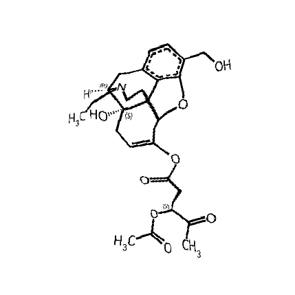 CC(=O)O[C@@H](CC(=O)OC1=CC[C@@]2(O)[C@H]3Cc4ccc(CO)c5c4C2(CCN3C)C1O5)C(C)=O